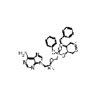 C[C@H](Cn1cnc2c(N)ncnc21)OCP(=O)(Oc1ccccc1)OC1CSSCC1OCc1ccccc1